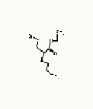 CCCCC(CCBr)C(=O)OCC